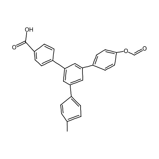 Cc1ccc(-c2cc(-c3ccc(OC=O)cc3)cc(-c3ccc(C(=O)O)cc3)c2)cc1